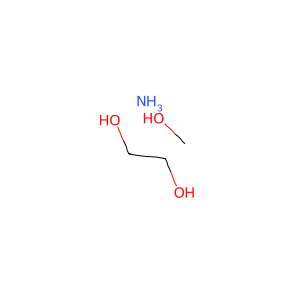 CO.N.OCCO